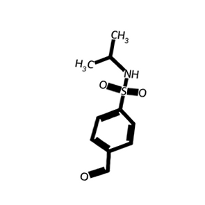 CC(C)NS(=O)(=O)c1ccc(C=O)cc1